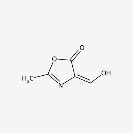 CC1=N/C(=C/O)C(=O)O1